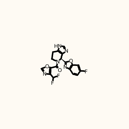 O=C(c1ocnc1C(F)F)N1CCc2[nH]cnc2[C@H]1c1nc2ccc(F)cc2o1